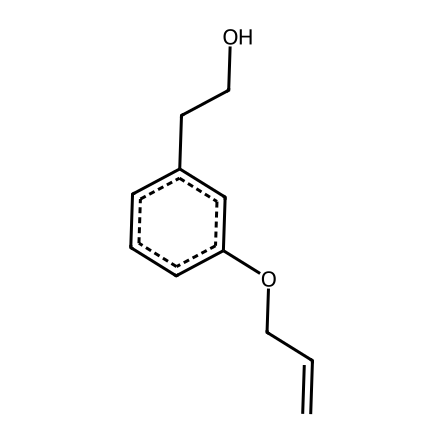 C=CCOc1cccc(CCO)c1